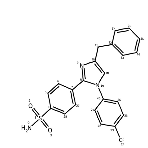 NS(=O)(=O)c1ccc(-c2nc(Cc3ccccc3)cn2-c2ccc(Cl)cc2)cc1